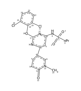 CCCS(=O)(=O)Nc1cc(-c2ccc(=O)n(C)c2)nc(Oc2c(Cl)cccc2Cl)n1